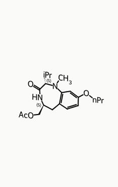 CCCOc1ccc2c(c1)N(C)[C@@H](C(C)C)C(=O)N[C@H](COC(C)=O)C2